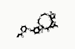 C=CC(=O)N1CCC[C@@H](OCc2ccc3c(c2)N2CCCCCOc4c(cnn4C)-c4cc(cc(C)n4)C(=O)/N=C/2N3)C1